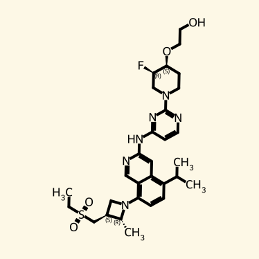 CCS(=O)(=O)C[C@H]1CN(c2ccc(C(C)C)c3cc(Nc4ccnc(N5CC[C@H](OCCO)[C@H](F)C5)n4)ncc23)[C@@H]1C